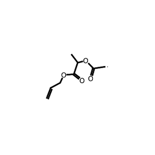 [CH2]C(=O)OC(C)C(=O)OCC=C